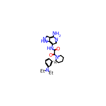 CCN(CC)c1cccc([C@H]2CCCCN2C(=O)C(=O)Nc2cnc(N)c3cn[nH]c23)c1